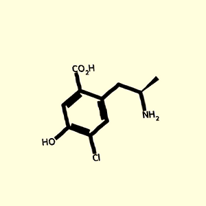 C[C@@H](N)Cc1cc(Cl)c(O)cc1C(=O)O